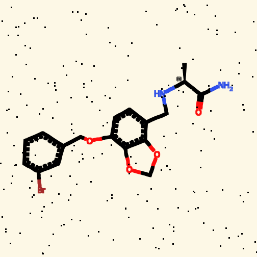 C[C@H](NCc1ccc(OCc2cccc(Br)c2)c2c1OCO2)C(N)=O